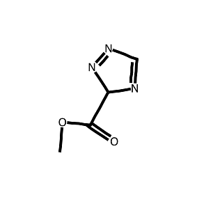 COC(=O)C1N=CN=N1